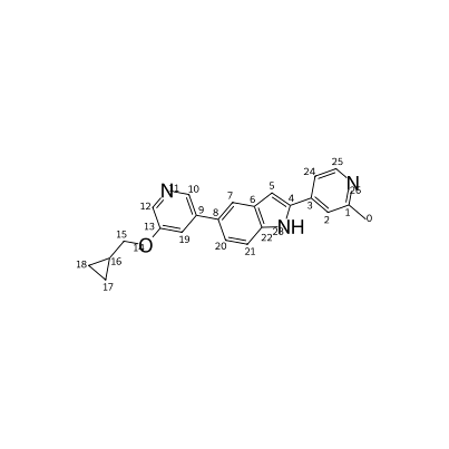 Cc1cc(-c2cc3cc(-c4cncc(OCC5CC5)c4)ccc3[nH]2)ccn1